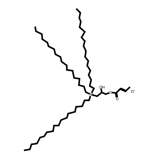 CC=CC(=O)OCC(O)C[N+](CCCCCCCCCCCCCCCCCC)(CCCCCCCCCCCCCCCCCC)CCCCCCCCCCCCCCCCCC.[Cl-]